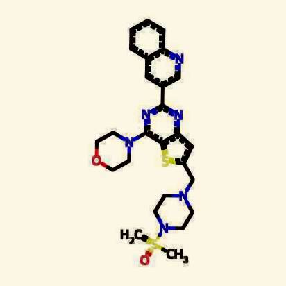 C=S(C)(=O)N1CCN(Cc2cc3nc(-c4cnc5ccccc5c4)nc(N4CCOCC4)c3s2)CC1